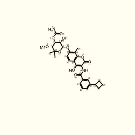 CO[C@@H]1[C@@H](OC(N)=O)[C@@H](O)[C@H](Oc2ccc3c(O)c(NC(=O)c4cccc(C5CCC5)c4)c(=O)oc3c2C)OC1(C)C